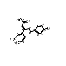 C\C=C/C(=C\C)C(=C/C(=O)O)/CCc1ccc(Cl)cc1